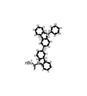 CCCC[C@H](C)n1c2ccccc2c2cc(-c3ccc4c(c3)c3ccccc3n4-c3ccccc3)ccc21